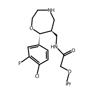 CC(C)OCC(=O)NC[C@@H]1CNCCO[C@H]1c1ccc(Cl)c(F)c1